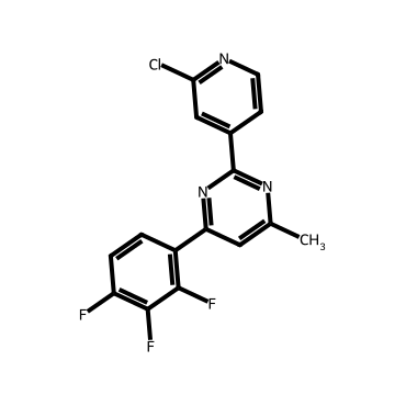 Cc1cc(-c2ccc(F)c(F)c2F)nc(-c2ccnc(Cl)c2)n1